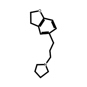 c1cc2c(cc1CCCN1CCCC1)CCO2